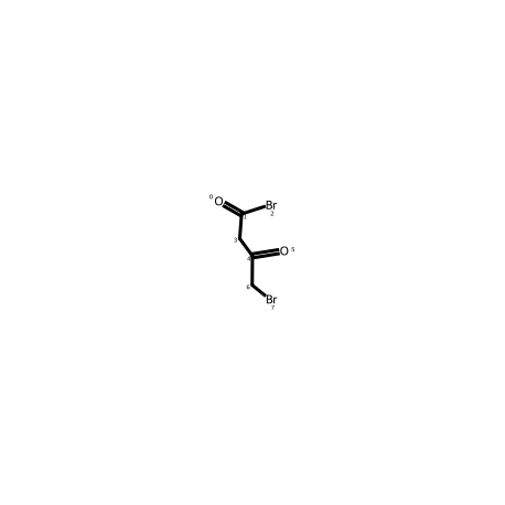 O=C(Br)CC(=O)CBr